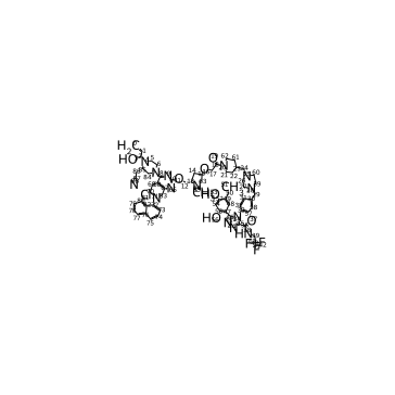 C=CC(O)N1CCN(c2nc(OC[C@@H]3C[C@@H](OCC(=O)N4CCC(CN5CCN(Cc6ccc(-n7c(C(=O)NCC(F)(F)F)nnc7-c7cc(CC)c(O)cc7O)cc6)CC5)CC4)CN3C)nc3c2CCN(c2cccc4cccc(Cl)c24)C3)C[C@@H]1CC#N